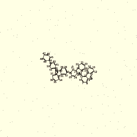 CC1c2c(n(-c3cccc4sc5ccccc5c34)c3ccccc23)C=CC1c1ccc2c(c1)c1ccccc1n2-c1ccc(-c2ccccc2)cc1